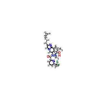 CC(C)(O)c1c(NC(=O)c2cccc(C(F)(F)F)n2)cn2cc(CCSC3CC3)nc2c1F